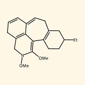 CCC1CCC2=C(CC=C3C=CCC4=C3C2=C(OC)N(OC)C4)C1